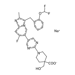 Cc1nc2cc(F)c(-c3cnc(N4CCC(CO)(C(=O)[O-])CC4)nc3)cn2c1Cc1ccccc1OC(F)F.[Na+]